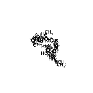 CCOc1cc(N2CCC(C(=O)N3CCN(Cc4ccc(-n5c(C(=O)NCCN(CC)CC)nnc5-c5cc(C(C)C)c(O)cc5O)cc4)CC3)CC2)ccc1Nc1ncc2c(n1)N(S(C)(=O)=O)c1ccccc1C(=O)N2C